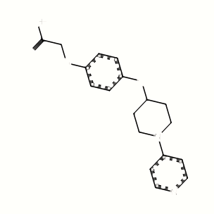 O=C(O)COc1ccc(OC2CCN(c3ccncc3)CC2)cc1